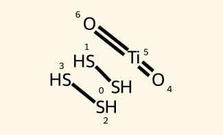 SS.SS.[O]=[Ti]=[O]